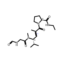 CCNC(=O)[C@@H]1CCCN1C(=O)/C(C)=C/[C@H](C(C)C)N(C)C(=O)CNC=O